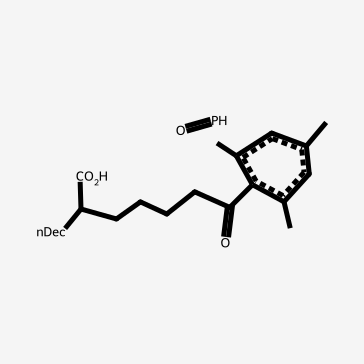 CCCCCCCCCCC(CCCCC(=O)c1c(C)cc(C)cc1C)C(=O)O.O=P